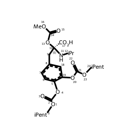 CCCC(C)OC(=O)Oc1ccc(C[C@](NC(C)C)(OC(=O)OC)C(=O)O)cc1OC(=O)OC(C)CCC